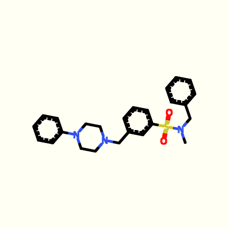 CN(Cc1ccccc1)S(=O)(=O)c1cccc(CN2CCN(c3ccccc3)CC2)c1